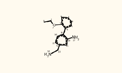 CCOc1ccccc1-c1ccc(CN)cc1N